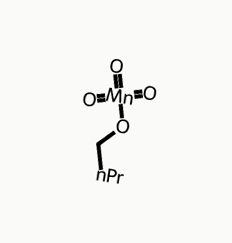 CCCC[O][Mn](=[O])(=[O])=[O]